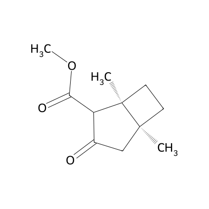 COC(=O)C1C(=O)C[C@]2(C)CC[C@]12C